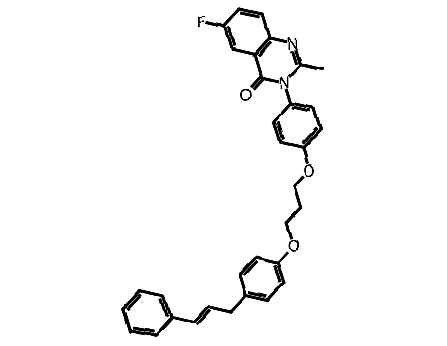 Cc1nc2ccc(F)cc2c(=O)n1-c1ccc(OCCCOc2ccc(CC=Cc3ccccc3)cc2)cc1